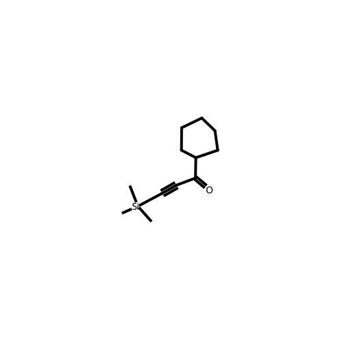 C[Si](C)(C)C#CC(=O)C1CCCCC1